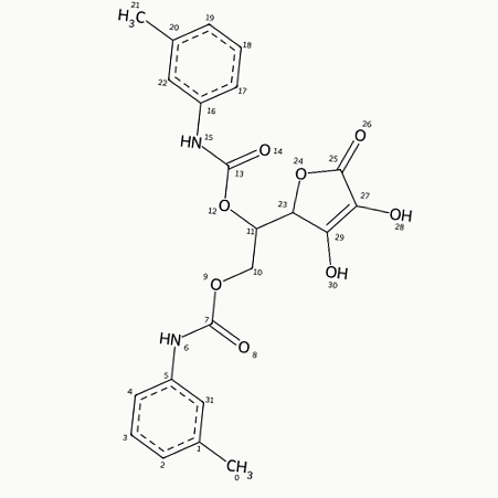 Cc1cccc(NC(=O)OCC(OC(=O)Nc2cccc(C)c2)C2OC(=O)C(O)=C2O)c1